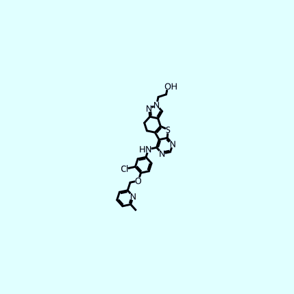 Cc1cccc(COc2ccc(Nc3ncnc4sc5c(c34)CCc3nn(CCO)cc3-5)cc2Cl)n1